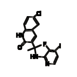 CC(C)(Nc1nccc(I)c1F)c1cc2cc(Cl)ccc2[nH]c1=O